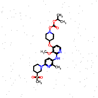 COc1c(OC2CCN(OC(=O)OC(C)C)CC2)ccnc1Nc1ccc(N2CCCC(S(C)(=O)=O)C2)nc1C